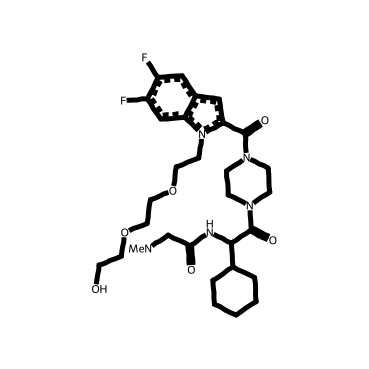 CNCC(=O)NC(C(=O)N1CCN(C(=O)c2cc3cc(F)c(F)cc3n2CCOCCOCCO)CC1)C1CCCCC1